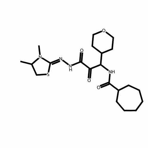 CC1CSC(=NNC(=O)C(=O)C(NC(=O)C2CCCCCC2)C2CCOCC2)N1C